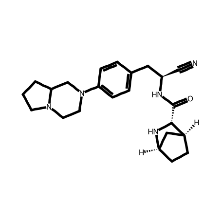 N#C[C@H](Cc1ccc(N2CCN3CCCC3C2)cc1)NC(=O)[C@H]1N[C@@H]2CC[C@H]1C2